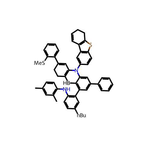 CCCCc1ccc(Nc2ccc(C)cc2C)c(-c2cc(-c3ccccc3)cc3c2BC2=C(C=C(c4ccccc4SC)CC2)N3c2ccc3sc4c(c3c2)C=CCC4)c1